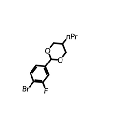 CCCC1COC(c2ccc(Br)c(F)c2)OC1